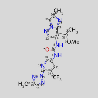 CO[C@@H](C)c1c(NC(=O)Nc2cnc(-n3ncc(C)n3)c(C(F)(F)F)c2)cnn2cc(C)nc12